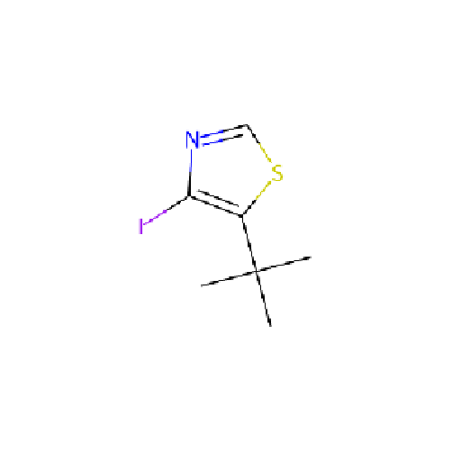 CC(C)(C)c1scnc1I